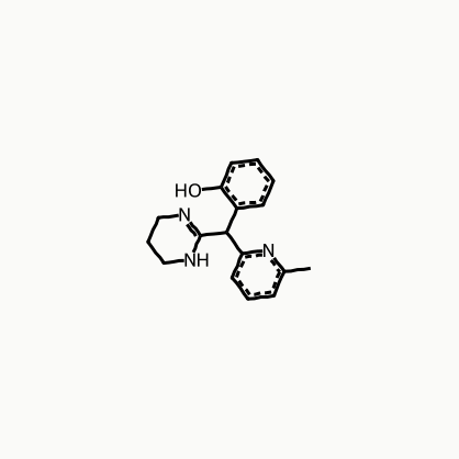 Cc1cccc(C(C2=NCCCN2)c2ccccc2O)n1